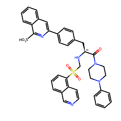 O=C([C@H](Cc1ccc(-c2cc3ccccc3c(S(=O)(=O)O)n2)cc1)NCS(=O)(=O)c1cccc2cnccc12)N1CCN(c2ccccc2)CC1